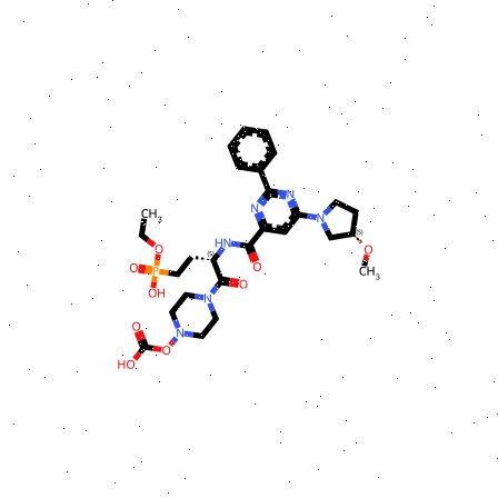 CCOP(=O)(O)CC[C@H](NC(=O)c1cc(N2CC[C@H](OC)C2)nc(-c2ccccc2)n1)C(=O)N1CCN(OC(=O)O)CC1